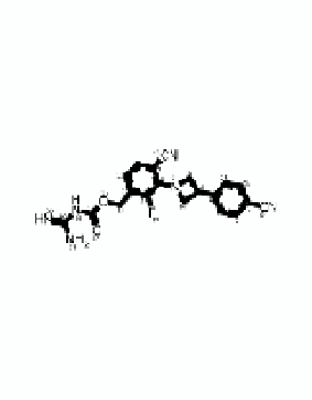 N#Cc1ccc(C2CN(c3c(C#N)ccc(COC(=O)NC(=N)N)c3F)C2)cc1